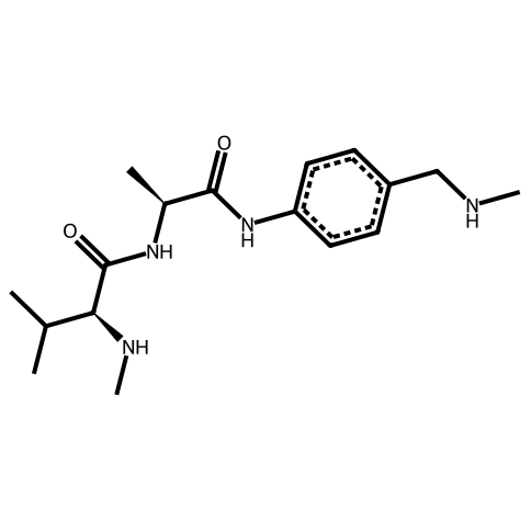 CNCc1ccc(NC(=O)[C@H](C)NC(=O)[C@@H](NC)C(C)C)cc1